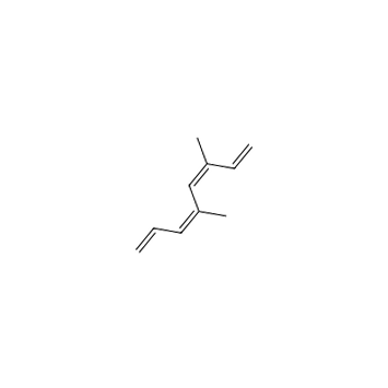 C=CC=C(C)C=C(C)C=C